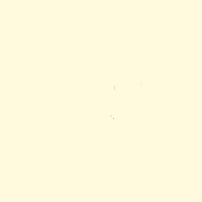 Cl.Cl.[Cr][C]1(c2cccc3cccnc23)C=Cc2ccccc21